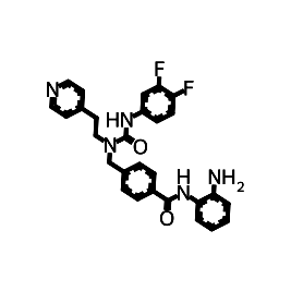 Nc1ccccc1NC(=O)c1ccc(CN(CCc2ccncc2)C(=O)Nc2ccc(F)c(F)c2)cc1